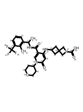 Cc1c(C(C)NC(=O)c2cn(C3CCOCC3)c(=O)cc2NC2CC3(C2)CN(C(=O)O)C3)cccc1C(F)(F)F